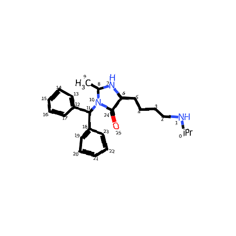 CC(C)NCCCCC1NC(C)N(C(c2ccccc2)c2ccccc2)C1=O